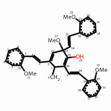 [CH2]C1C(/C=C/c2ccccc2OC)=CC(/C=C/c2ccccc2OC)(OC)C(O)=C1/C=C/c1ccccc1OC